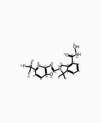 CC1(C)c2cccc(C(=O)NO)c2CN1c1nc2nc(C(F)(F)F)ccc2o1